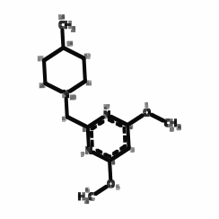 COc1cc(OC)nc(CN2CCC(C)CC2)n1